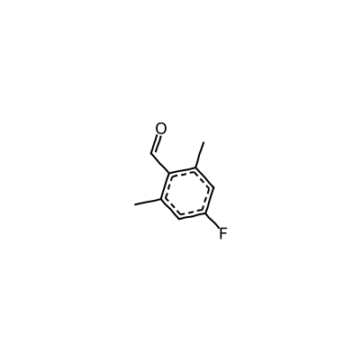 Cc1cc(F)cc(C)c1C=O